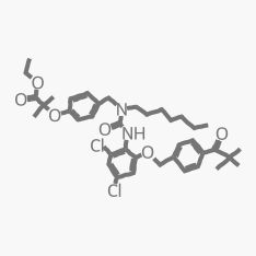 CCCCCCCN(Cc1ccc(OC(C)(C)C(=O)OCC)cc1)C(=O)Nc1c(Cl)cc(Cl)cc1OCc1ccc(C(=O)C(C)(C)C)cc1